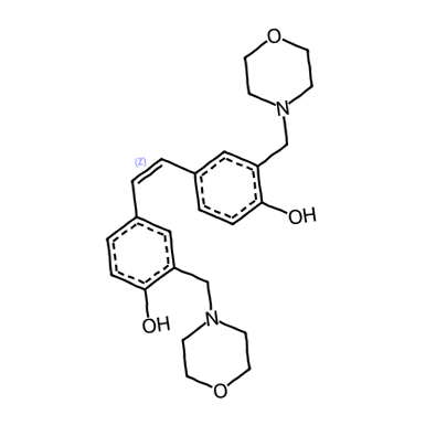 Oc1ccc(/C=C\c2ccc(O)c(CN3CCOCC3)c2)cc1CN1CCOCC1